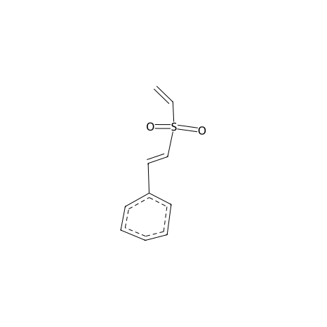 C=CS(=O)(=O)C=Cc1ccccc1